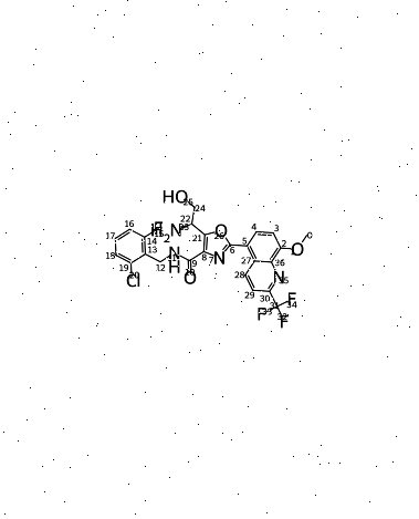 COc1ccc(-c2nc(C(=O)NCc3c(F)cccc3Cl)c([C@@H](N)CO)o2)c2ccc(C(F)(F)F)nc12